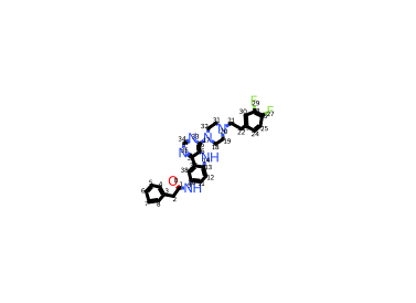 O=C(Cc1ccccc1)Nc1ccc2[nH]c3c(N4CCN(CCc5ccc(F)c(F)c5)CC4)ncnc3c2c1